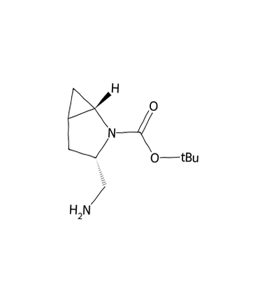 CC(C)(C)OC(=O)N1[C@H](CN)CC2C[C@@H]21